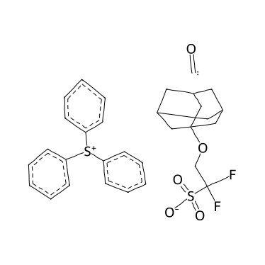 O=S(=O)([O-])C(F)(F)COC12CC3CC(CC(C3)C1)C2.[C]=O.c1ccc([S+](c2ccccc2)c2ccccc2)cc1